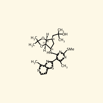 CSc1nc(C)c(-c2nc3c(C)nccc3s2)c(N[C@@H]2C[C@H](CC(C)(C)O)[C@H]3OC(C)(C)O[C@H]32)n1